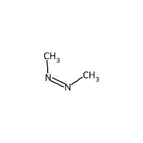 C/N=N\C